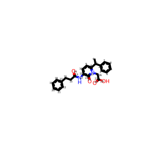 CC(c1ccccc1)c1ccc(NC(=O)CCc2ccccc2)c(=O)n1CC(=O)O